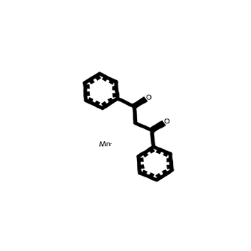 O=C(CC(=O)c1ccccc1)c1ccccc1.[Mn]